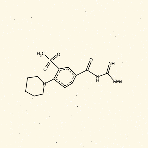 CNC(=N)NC(=O)c1ccc(N2CCCCC2)c(S(C)(=O)=O)c1